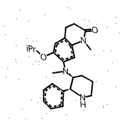 CC(C)Oc1cc2c(cc1N(C)[C@H]1CCCN[C@H]1c1ccccc1)N(C)C(=O)CC2